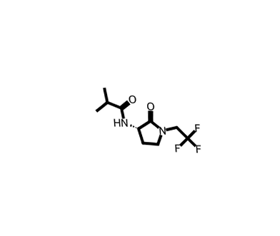 CC(C)C(=O)N[C@H]1CCN(CC(F)(F)F)C1=O